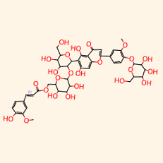 COc1cc(/C=C/C(=O)OCC2OC(OC3C(c4c(O)cc5oc(-c6ccc(OC7OC(CO)C(O)C(O)C7O)c(OC)c6)cc(=O)c5c4O)OC(CO)C(O)C3O)C(O)C(O)C2O)ccc1O